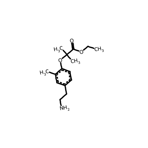 CCOC(=O)C(C)(C)Oc1ccc(CCN)cc1C